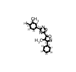 Cc1cc(-c2noc(-c3onc(-c4ccccc4)c3C)n2)ccc1I